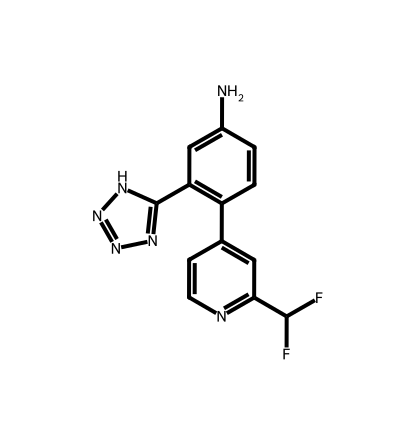 Nc1ccc(-c2ccnc(C(F)F)c2)c(-c2nnn[nH]2)c1